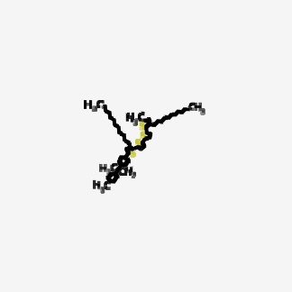 CCCCCCCCCCCCc1cc(C)sc1-c1ccc(-c2ccc(-c3sc(-c4ccc(C(C)(C)c5ccc(C)cc5)cc4)cc3CCCCCCCCCCCC)s2)s1